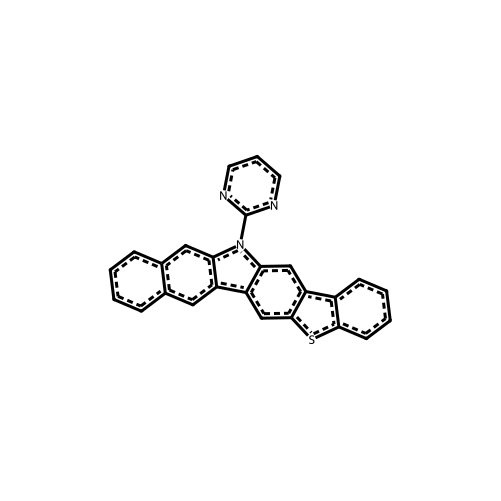 c1cnc(-n2c3cc4ccccc4cc3c3cc4sc5ccccc5c4cc32)nc1